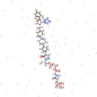 CC[C@@H]([C@H](C)OC(=O)OC(C)OC(=O)CNC(=O)COP(=O)(O)O)n1ncn(-c2ccc(N3CCN(c4ccc(OC[C@@H]5CO[C@@](Cn6cncn6)(c6ccc(F)cc6F)C5)cc4)CC3)cc2)c1=O